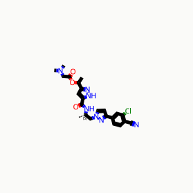 CC(OC(=O)CN(C)C)c1cc(C(=O)N[C@@H](C)Cn2ccc(-c3ccc(C#N)c(Cl)c3)n2)[nH]n1